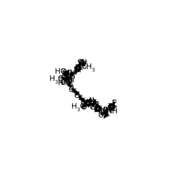 COc1cc2c(Oc3ccc(NC(=O)C4(C(=O)Nc5ccc(F)cc5)CC4)cc3F)ccnc2cc1OCCCOCCCOCCC(=O)N[C@H](C(=O)N1C[C@@H](O)C[C@H]1C(=O)NCc1ccc(-c2scnc2C)cc1)C(C)(C)C